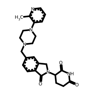 Cc1ncccc1N1CCN(Cc2ccc3c(c2)CN(C2CCC(=O)NC2=O)C3=O)CC1